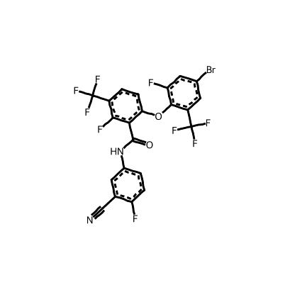 N#Cc1cc(NC(=O)c2c(Oc3c(F)cc(Br)cc3C(F)(F)F)ccc(C(F)(F)F)c2F)ccc1F